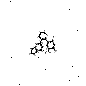 Fc1cc(F)c(-c2ncccc2-c2ccc3ncnn3n2)cc1Cl